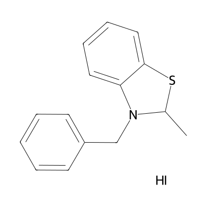 CC1Sc2ccccc2N1Cc1ccccc1.I